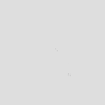 c1ccc(-n2c3ccccc3c3c4c5ccccc5n(-c5ccc(-c6cccc7c6sc6ccccc67)cc5)c4ccc32)cc1